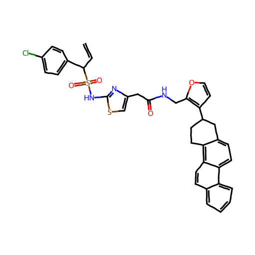 C=CC(c1ccc(Cl)cc1)S(=O)(=O)Nc1nc(CC(=O)NCc2occc2C2CCc3c(ccc4c3ccc3ccccc34)C2)cs1